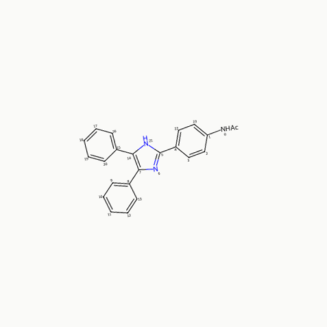 CC(=O)Nc1ccc(-c2nc(-c3ccccc3)c(-c3ccccc3)[nH]2)cc1